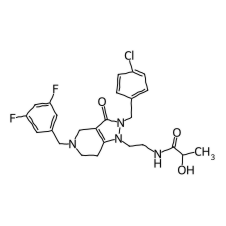 CC(O)C(=O)NCCn1c2c(c(=O)n1Cc1ccc(Cl)cc1)CN(Cc1cc(F)cc(F)c1)CC2